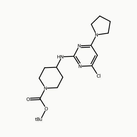 CC(C)(C)OC(=O)N1CCC(Nc2nc(Cl)cc(N3CCCC3)n2)CC1